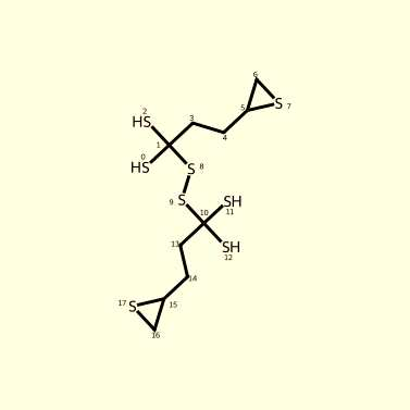 SC(S)(CCC1CS1)SSC(S)(S)CCC1CS1